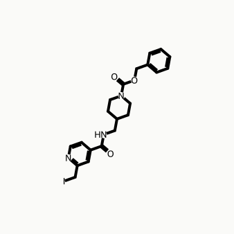 O=C(NCC1CCN(C(=O)OCc2ccccc2)CC1)c1ccnc(CI)c1